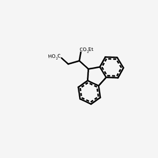 CCOC(=O)C(CC(=O)O)C1c2ccccc2-c2ccccc21